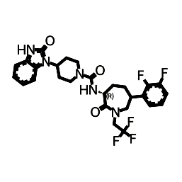 O=C(N[C@@H]1CCC(c2cccc(F)c2F)CN(CC(F)(F)F)C1=O)N1CCC(n2c(=O)[nH]c3ccccc32)CC1